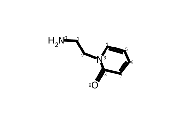 NCCn1ccccc1=O